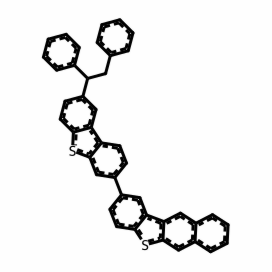 c1ccc(CC(c2ccccc2)c2ccc3sc4cc(-c5ccc6sc7cc8ccccc8cc7c6c5)ccc4c3c2)cc1